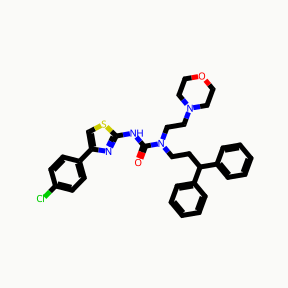 O=C(Nc1nc(-c2ccc(Cl)cc2)cs1)N(CCC(c1ccccc1)c1ccccc1)CCN1CCOCC1